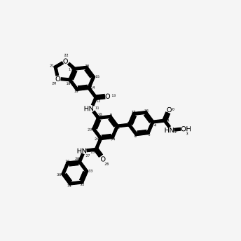 O=C(NO)c1ccc(-c2cc(NC(=O)c3ccc4c(c3)OCO4)cc(C(=O)Nc3ccccc3)c2)cc1